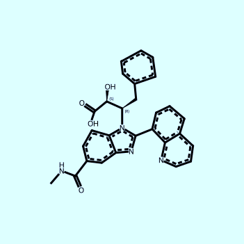 CNC(=O)c1ccc2c(c1)nc(-c1cccc3cccnc13)n2[C@H](Cc1ccccc1)[C@H](O)C(=O)O